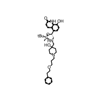 CC(C)(C)[Si](C)(C)O[C@@H](CNCC1(O)CCN(CCCOCCc2ccccc2)CC1)c1ccc(O)c2[nH]c(=O)ccc12